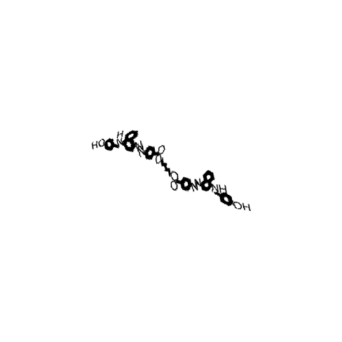 O=C(OCCCCCCOC(=O)c1ccc(N=Nc2ccc(NCc3ccc(O)cc3)c3ccccc23)cc1)c1ccc(N=Nc2ccc(NCc3ccc(O)cc3)c3ccccc23)cc1